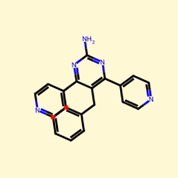 Nc1nc(-c2ccncc2)c(Cc2ccccc2)c(-c2ccncc2)n1